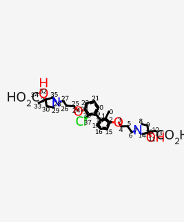 Cc1c(OCCCN2CCC(O)(CC(=O)O)C2)cccc1-c1cccc(OCCCN2CCC(O)(CC(=O)O)C2)c1Cl